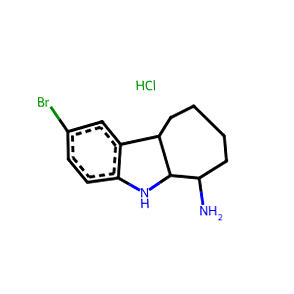 Cl.NC1CCCCC2c3cc(Br)ccc3NC12